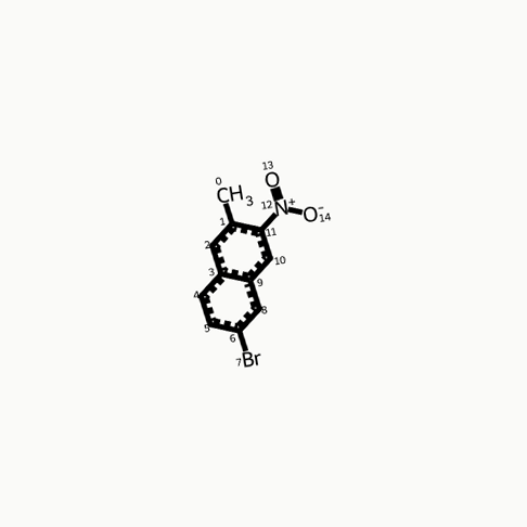 Cc1cc2ccc(Br)cc2cc1[N+](=O)[O-]